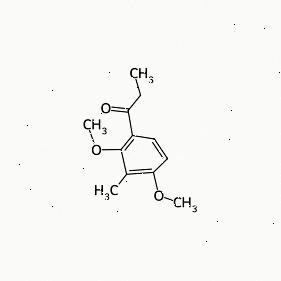 CCC(=O)c1ccc(OC)c(C)c1OC